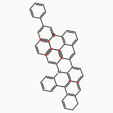 C1=Cc2c(cccc2-c2ccccc2N(c2ccc(-c3ccc(-c4ccccc4)cc3)cc2)c2ccccc2-c2cc3c4c(cccc4c2)Oc2ccccc2-3)CC1